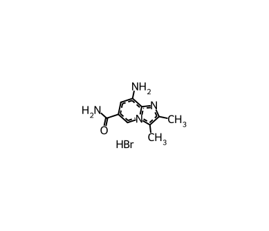 Br.Cc1nc2c(N)cc(C(N)=O)cn2c1C